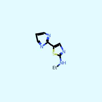 CCNc1ncc(-c2n[c]ccn2)s1